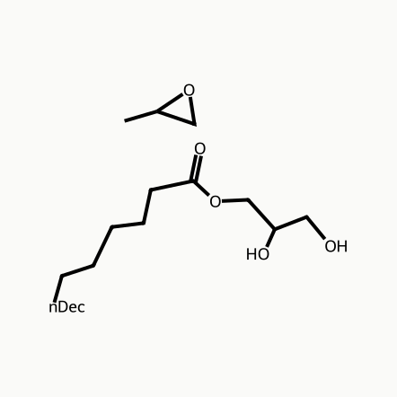 CC1CO1.CCCCCCCCCCCCCCCC(=O)OCC(O)CO